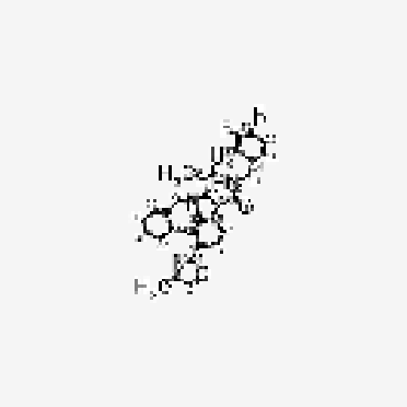 CC1COC(c2ccc3c(C(=O)NCc4ccc(F)c(F)c4)c(C(C)C)n(Cc4ccccc4)c3c2)=N1